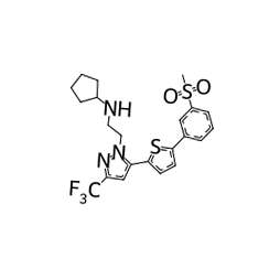 CS(=O)(=O)c1cccc(-c2ccc(-c3cc(C(F)(F)F)nn3CCNC3CCCC3)s2)c1